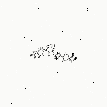 O=C(NC(CO)c1nc(-c2ccc(C(F)(F)F)cc2)no1)c1ccc(C(F)(F)F)cc1